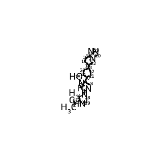 CC(C)[C@H]1CN(c2ncc(-c3ccc(-c4ccc5nncn5c4)cc3O)nn2)CCN1